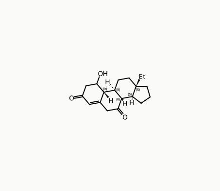 CC[C@@]12CCC[C@H]1[C@@H]1C(=O)CC3=CC(=O)CC(O)[C@@H]3[C@H]1CC2